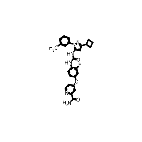 Cc1cccc(-n2nc(C3CCC3)cc2NC(=O)Nc2ccc(Oc3ccnc(C(N)=O)c3)cc2F)c1